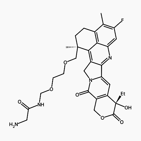 CC[C@@]1(O)C(=O)OCc2c1cc1n(c2=O)Cc2c-1nc1cc(F)c(C)c3c1c2[C@@](C)(COCCOCNC(=O)CN)CC3